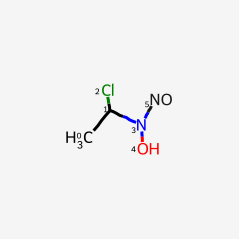 CC(Cl)N(O)N=O